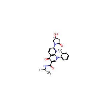 CCC(NC(=O)c1cn(-c2ccccc2C(F)(F)F)c2nc(N3C[C@@H](O)CC3=O)ccc2c1=O)C(F)(F)F